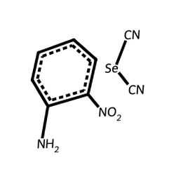 N#C[Se]C#N.Nc1ccccc1[N+](=O)[O-]